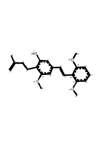 C=C(C)CCc1c(O)cc(C=Cc2c(OC)cccc2OC)cc1OC